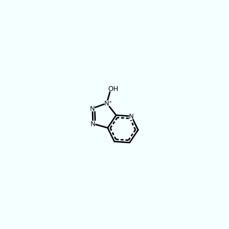 O[N+]1N=Nc2cccnc21